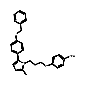 CCCCc1ccc(OCCCn2c(C)ccc2-c2ccc(OCc3ccccc3)cc2)cc1